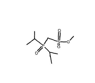 COS(=O)(=O)CP(=O)(C(C)C)C(C)C